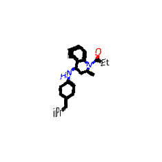 CCC(=O)N1c2ccccc2C(NC2CCC(=CC(C)C)CC2)CC1C